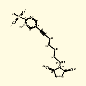 CS(=O)(=O)c1ncc(C#CCCCCNN2C(=O)CCC2=O)cn1